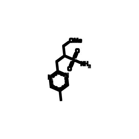 COCC(Cc1ncc(C)cn1)S(N)(=O)=O